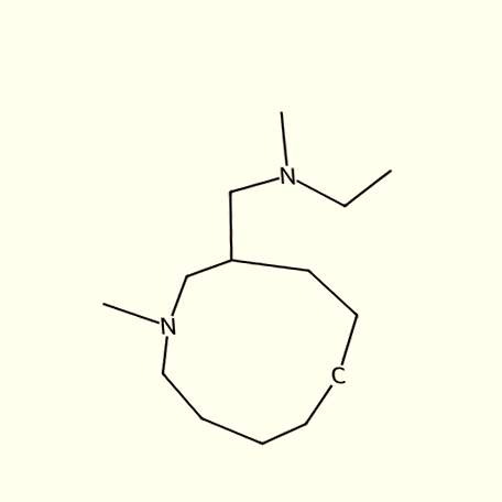 CCN(C)CC1CCCCCCCN(C)C1